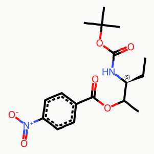 CC[C@H](NC(=O)OC(C)(C)C)C(C)OC(=O)c1ccc([N+](=O)[O-])cc1